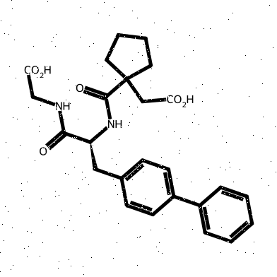 O=C(O)CNC(=O)[C@H](Cc1ccc(-c2ccccc2)cc1)NC(=O)C1(CC(=O)O)CCCC1